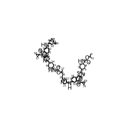 CC(C)OC(=O)NC1CCC(c2ncc(-c3ccc(Nc4cnn(CCC(C)OC(=O)NC5CCC(c6ncc(-c7ccc(Nc8cnn(C)c8)cc7S(=N)(=O)C7CC7)s6)CC5)c4)cc3S(=O)(=O)C3CC3)s2)CC1